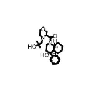 CC(C)(O)CN1CCOCC1C(=O)N1CC[C@](O)(c2ccccc2)[C@H]2CCCC[C@H]21